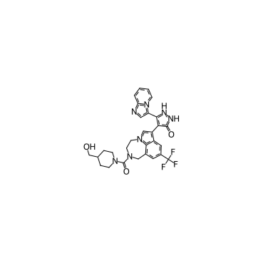 O=C(N1CCC(CO)CC1)N1CCn2cc(-c3c(-c4cnc5ccccn45)[nH][nH]c3=O)c3cc(C(F)(F)F)cc(c32)C1